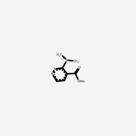 COC(=O)c1ccnnc1N(C)C